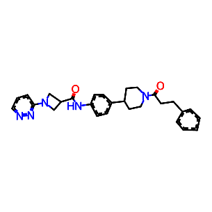 O=C(Nc1ccc(C2CCN(C(=O)CCc3ccccc3)CC2)cc1)C1CN(c2cccnn2)C1